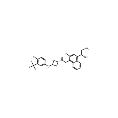 NCC(O)c1cc(F)c(CN[C@H]2C[C@H](Oc3ccc(F)c(C(F)(F)F)c3)C2)c2ccncc12